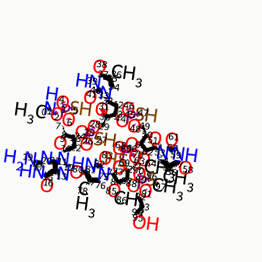 CNOP(=O)(S)OC[C@H]1O[C@@H](n2cnc3c(=O)[nH]c(N)nc32)CC1OP(=O)(S)OC[C@H]1O[C@@H](n2cc(C)c(=O)[nH]c2=O)CC1OP(=O)(S)OC[C@H]1O[C@@H](n2cc(C)c(=O)[nH]c2=O)C(OC)C1OP(=O)(S)OC[C@H]1O[C@@H](n2cc(C)c(=O)[nH]c2=O)C(OC)C1OP(=O)(OCCCO)SC